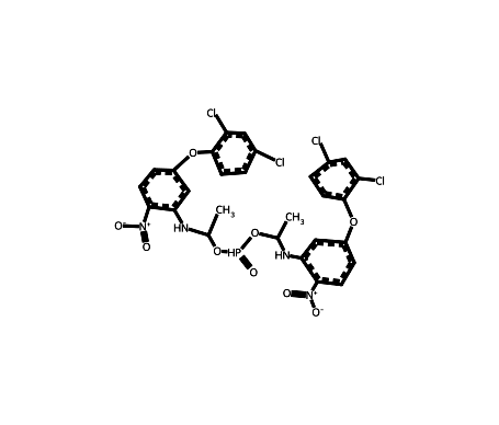 CC(Nc1cc(Oc2ccc(Cl)cc2Cl)ccc1[N+](=O)[O-])O[PH](=O)OC(C)Nc1cc(Oc2ccc(Cl)cc2Cl)ccc1[N+](=O)[O-]